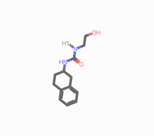 O=C(NC1CCc2ccccc2C1)N(S)CCO